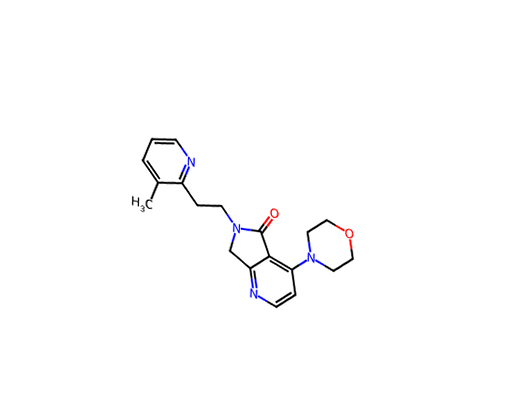 Cc1cccnc1CCN1Cc2nccc(N3CCOCC3)c2C1=O